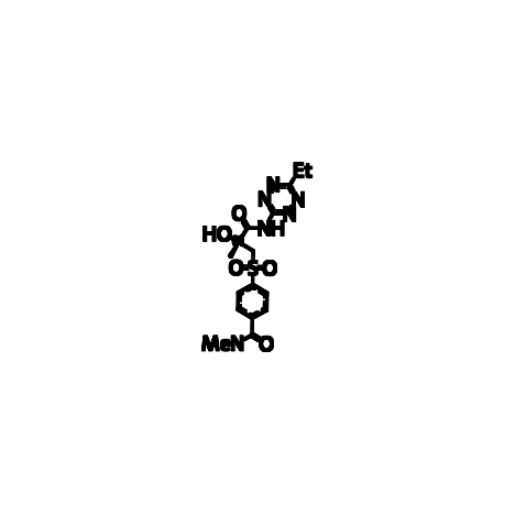 CCc1nnc(NC(=O)[C@@](C)(O)CS(=O)(=O)c2ccc(C(=O)NC)cc2)nn1